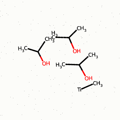 CC(C)O.CC(C)O.CC(C)O.[CH3][Ti]